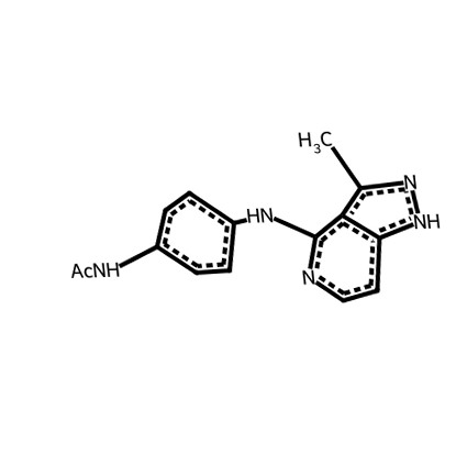 CC(=O)Nc1ccc(Nc2nccc3[nH]nc(C)c23)cc1